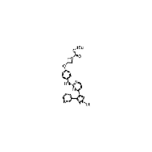 CCn1cc(-c2ccnc(Nc3ccc(OC4CN(C(=O)OC(C)(C)C)C4)cc3)n2)c(-c2cccnc2)n1